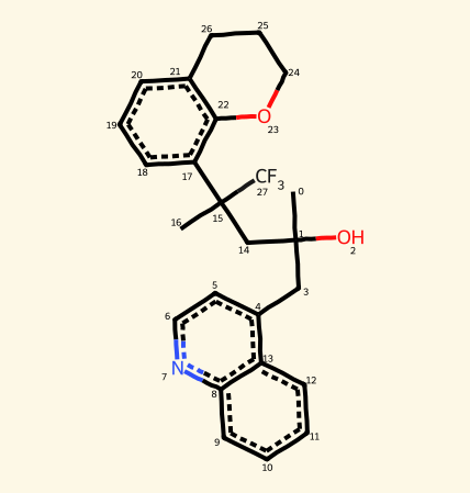 CC(O)(Cc1ccnc2ccccc12)CC(C)(c1cccc2c1OCCC2)C(F)(F)F